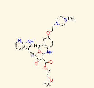 COCCOC(=O)C1=C(Nc2ccc(OCCN3CCN(C)CC3)cc2C)O/C(=C\c2c[nH]c3ncccc23)C1=O